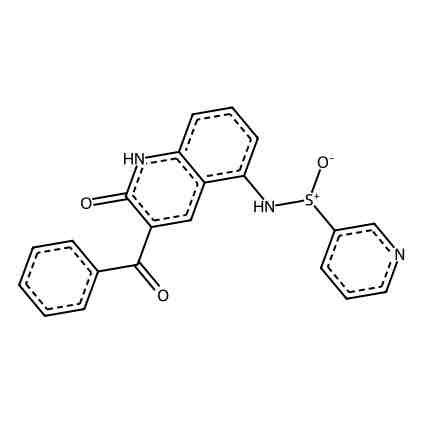 O=C(c1ccccc1)c1cc2c(N[S+]([O-])c3cccnc3)cccc2[nH]c1=O